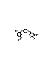 CC(C)Oc1ccc(Br)c(CC2CCN(CC3COC(=O)N(C(C)C)C3)CC2)c1